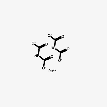 O=C([O-])PC(=O)[O-].O=C([O-])PC(=O)[O-].[Ru+4]